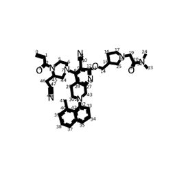 C=CC(=O)N1CCN(c2c(C#N)c(OCC3CCN(CC(=O)N(C)C)C3)nc3c2CCN(c2cccc4cccc(C)c24)C3)CC1CC#N